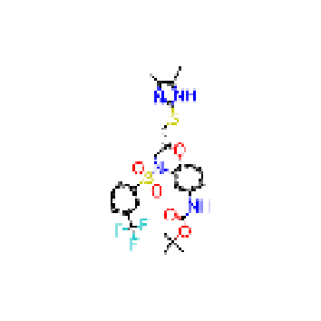 Cc1nc(SC[C@H]2CN(S(=O)(=O)c3cccc(C(F)(F)F)c3)c3cc(NC(=O)OC(C)(C)C)ccc3O2)[nH]c1C